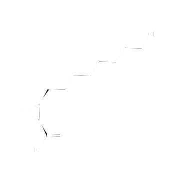 CCCCCCCCC[C@@H]1O[C@@H]1C(=O)O